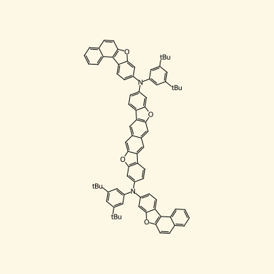 CC(C)(C)c1cc(N(c2ccc3c(c2)oc2cc4cc5c(cc4cc23)oc2cc(N(c3cc(C(C)(C)C)cc(C(C)(C)C)c3)c3ccc4c(c3)oc3ccc6ccccc6c34)ccc25)c2ccc3c(c2)oc2ccc4ccccc4c23)cc(C(C)(C)C)c1